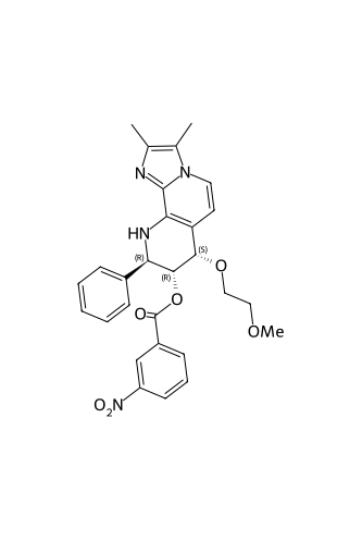 COCCO[C@H]1c2ccn3c(C)c(C)nc3c2N[C@H](c2ccccc2)[C@H]1OC(=O)c1cccc([N+](=O)[O-])c1